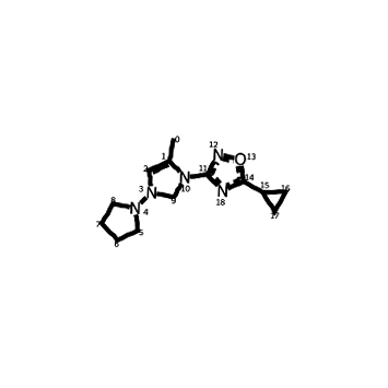 CC1=CN(N2CCCC2)CN1c1noc(C2CC2)n1